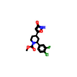 COC(=O)N1CC[C@@H](c2cc(=O)[nH]o2)C[C@H]1c1ccc(Cl)c(F)c1